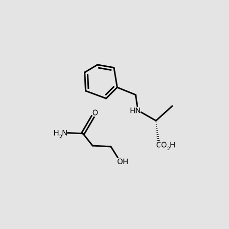 C[C@@H](NCc1ccccc1)C(=O)O.NC(=O)CCO